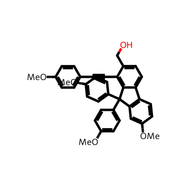 COc1ccc(C#Cc2c(CO)ccc3c2C(c2ccc(OC)cc2)(c2ccc(OC)cc2)c2cc(OC)ccc2-3)cc1